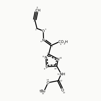 C#CCON=C(C(=O)O)c1nsc(NC(=O)OC(C)(C)C)n1